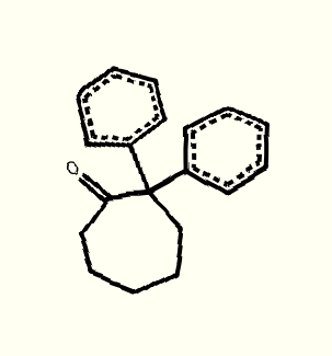 O=C1CCCCCC1(c1ccccc1)c1ccccc1